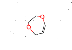 C1=COCCOC1